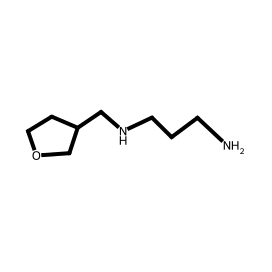 NCCCNCC1CCOC1